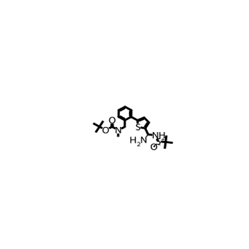 CN(Cc1ccccc1-c1ccc([C@@H](N)N[S@+]([O-])C(C)(C)C)s1)C(=O)OC(C)(C)C